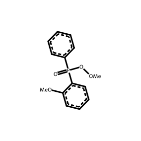 COOP(=O)(c1ccccc1)c1ccccc1OC